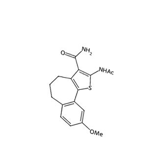 COc1ccc2c(c1)-c1sc(NC(C)=O)c(C(N)=O)c1CCC2